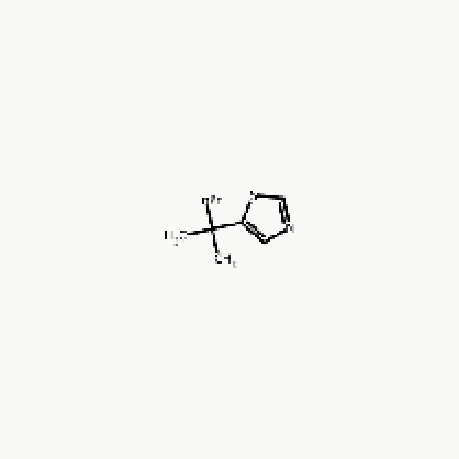 CCCC(C)(C)c1cncs1